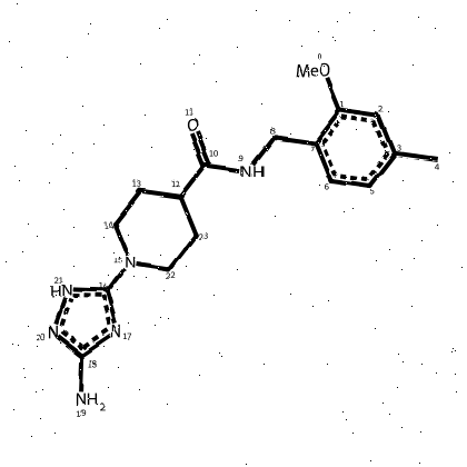 COc1cc(C)ccc1CNC(=O)C1CCN(c2nc(N)n[nH]2)CC1